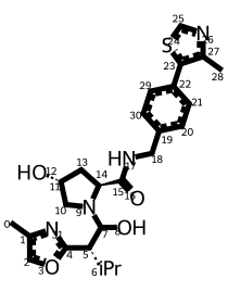 Cc1coc([C@@H](C(C)C)C(O)N2C[C@H](O)C[C@H]2C(=O)NCc2ccc(-c3scnc3C)cc2)n1